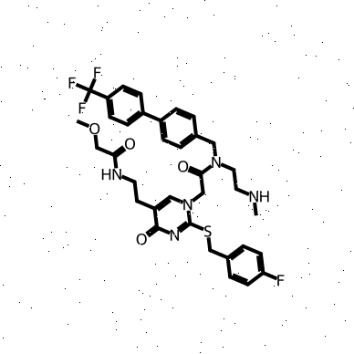 CNCCN(Cc1ccc(-c2ccc(C(F)(F)F)cc2)cc1)C(=O)Cn1cc(CCNC(=O)COC)c(=O)nc1SCc1ccc(F)cc1